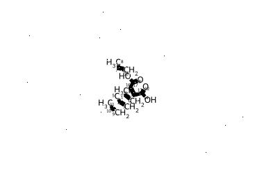 C=CC.C=CC.C=CC.C=CC.O=C(O)/C=C\C(=O)O